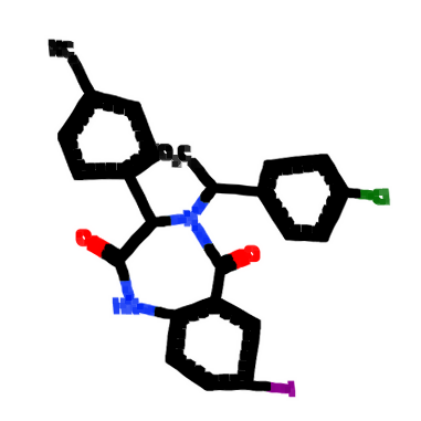 N#Cc1ccc(C2C(=O)Nc3ccc(I)cc3C(=O)N2C(C(=O)O)c2ccc(Cl)cc2)cc1